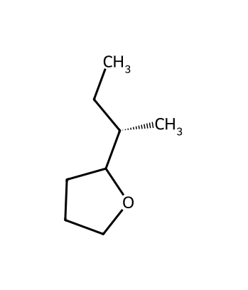 CC[C@H](C)C1CCCO1